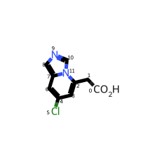 O=C(O)Cc1cc(Cl)cc2cncn12